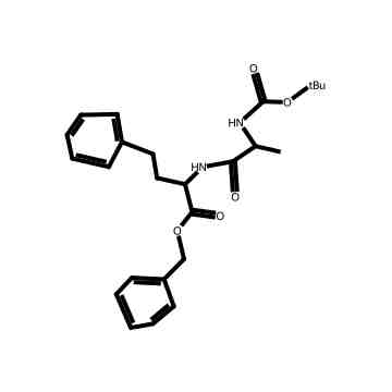 CC(NC(=O)OC(C)(C)C)C(=O)NC(CCc1ccccc1)C(=O)OCc1ccccc1